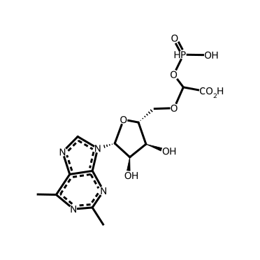 Cc1nc(C)c2ncn([C@@H]3O[C@H](COC(O[PH](=O)O)C(=O)O)[C@@H](O)[C@H]3O)c2n1